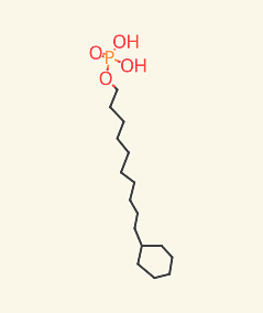 O=P(O)(O)OCCCCCCCCCCC1CCCCC1